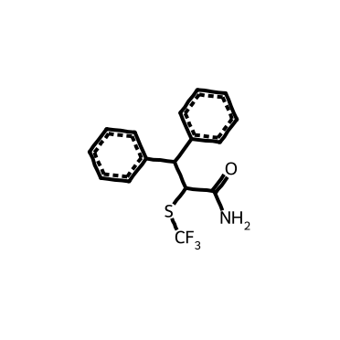 NC(=O)C(SC(F)(F)F)C(c1ccccc1)c1ccccc1